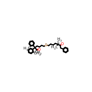 CC(=O)C(CCCCSCCCCC(C)(C)C(=O)Cc1ccccc1)(c1ccccc1C)c1ccccc1C